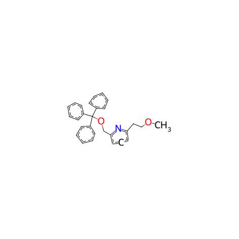 COCCc1cccc(COC(c2ccccc2)(c2ccccc2)c2ccccc2)n1